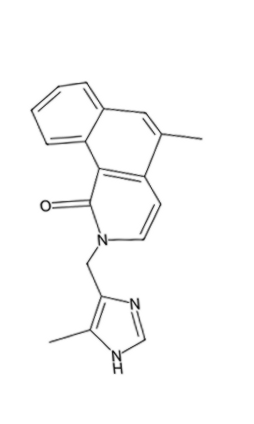 Cc1[nH]cnc1Cn1ccc2c(C)cc3ccccc3c2c1=O